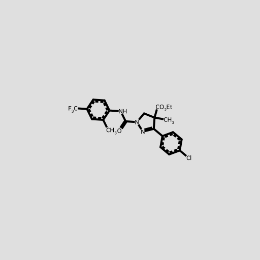 CCOC(=O)C1(C)CN(C(=O)Nc2ccc(C(F)(F)F)cc2C)N=C1c1ccc(Cl)cc1